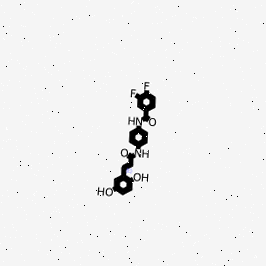 O=C(/C=C/c1cc(O)ccc1O)Nc1ccc(NC(=O)c2ccc(F)c(F)c2)cc1